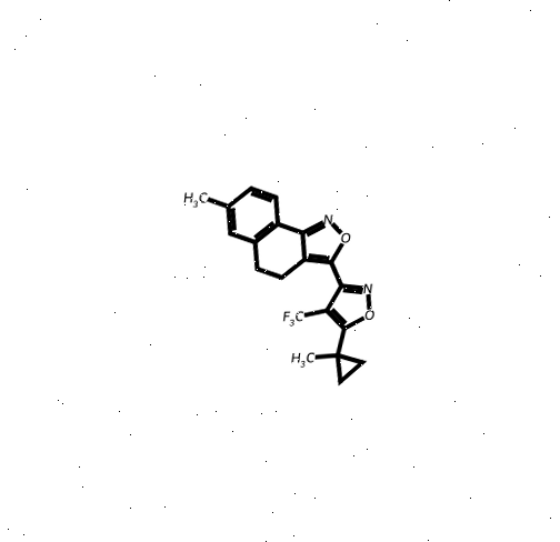 Cc1ccc2c(c1)CCc1c-2noc1-c1noc(C2(C)CC2)c1C(F)(F)F